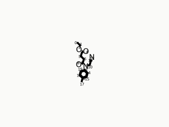 CCOC(=O)CCC(=O)N(CC#N)c1ccc(C)cc1